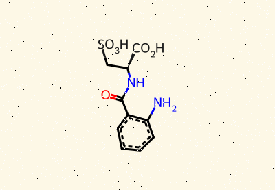 Nc1ccccc1C(=O)N[C@@H](CS(=O)(=O)O)C(=O)O